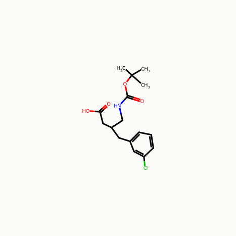 CC(C)(C)OC(=O)NCC(CC(=O)O)Cc1cccc(Cl)c1